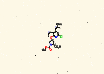 C/C=C\c1c(/C=C(\C)OC)cc(Cl)nc1O[C@@H]1C[C@@H](C(=O)O)N(C(=O)OC(C)(C)C)C1